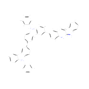 c1ccc(-n2c3ccccc3c3cc(-c4ccc5c(c4)c4cc(-c6ccc7[nH]c8nc9ccccc9c-8cc7c6)ccc4n5-c4ccccc4)ccc32)cc1